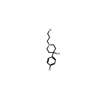 CC(=O)CCCN1CCC(C#N)(c2ccc(Cl)cc2)CC1